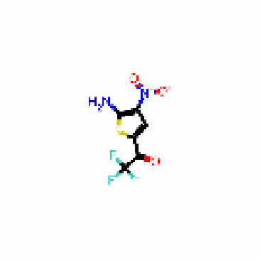 Nc1sc(C(=O)C(F)(F)F)cc1[N+](=O)[O-]